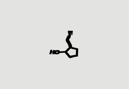 OC1CCCC1=CF